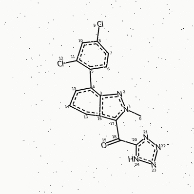 Cn1nc2c(-c3ccc(Cl)cc3Cl)cccc2c1C(=O)c1nnn[nH]1